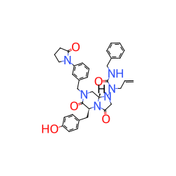 C=CCN(C(=O)NCc1ccccc1)N1CC(=O)N2[C@@H](Cc3ccc(O)cc3)C(=O)N(Cc3cccc(N4CCCC4=O)c3)C[C@@H]21